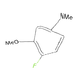 CNc1ccc(F)c(OC)c1